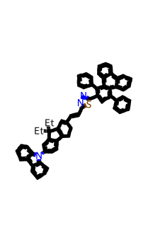 CCC1(CC)C2=C(CCC(/C=C/c3nnc(-c4cc(-c5ccccc5)c5c6ccccc6c6ccccc6c5c4-c4ccccc4)s3)=C2)c2ccc(-n3c4ccccc4c4ccccc43)cc21